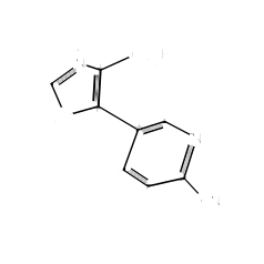 N#Cc1ccc(-c2ocnc2C(=O)O)cn1